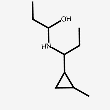 CCC(O)NC(CC)C1CC1C